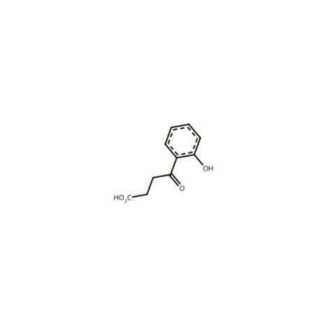 O=C(O)CCC(=O)c1ccccc1O